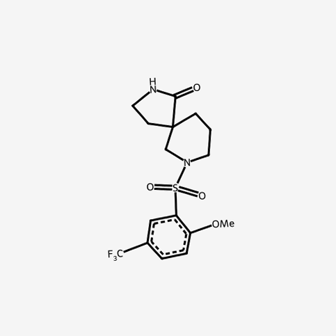 COc1ccc(C(F)(F)F)cc1S(=O)(=O)N1CCCC2(CCNC2=O)C1